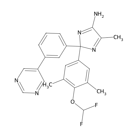 CC1=NC(c2cccc(-c3cncnc3)c2)(c2cc(C)c(OC(F)F)c(C)c2)N=C1N